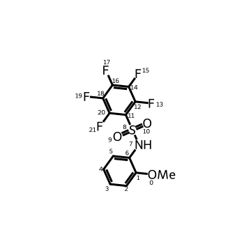 COc1ccccc1NS(=O)(=O)c1c(F)c(F)c(F)c(F)c1F